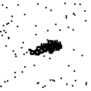 CCOc1ccc(Cc2cc([C@]34OC[C@](/C=N/OC)(O3)[C@@H](O)[C@H](O)[C@H]4O)ccc2Cl)cc1